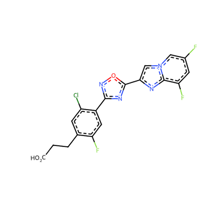 O=C(O)CCc1cc(Cl)c(-c2noc(-c3cn4cc(F)cc(F)c4n3)n2)cc1F